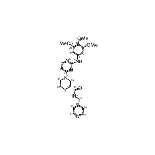 COc1cc(Nc2nccc(N3CCC[C@@H](C(=O)NCc4ccncc4)C3)n2)cc(OC)c1OC